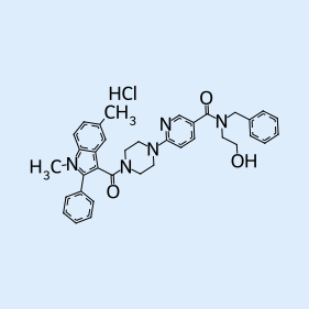 Cc1ccc2c(c1)c(C(=O)N1CCN(c3ccc(C(=O)N(CCO)Cc4ccccc4)cn3)CC1)c(-c1ccccc1)n2C.Cl